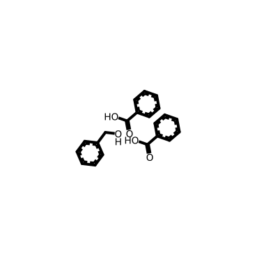 O=C(O)c1ccccc1.O=C(O)c1ccccc1.OCc1ccccc1